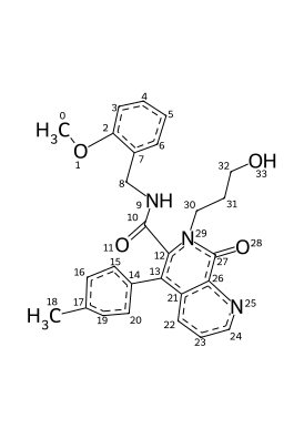 COc1ccccc1CNC(=O)c1c(-c2ccc(C)cc2)c2cccnc2c(=O)n1CCCO